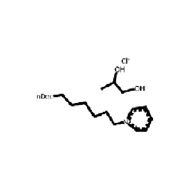 CC(O)CO.CCCCCCCCCCCCCCCC[n+]1ccccc1.[Cl-]